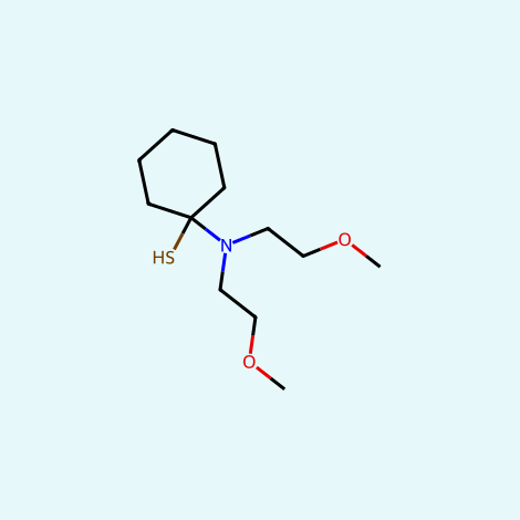 COCCN(CCOC)C1(S)CCCCC1